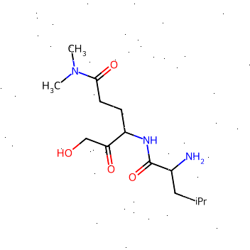 CC(C)CC(N)C(=O)NC(CCC(=O)N(C)C)C(=O)CO